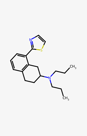 CCCN(CCC)C1CCc2cccc(-c3nccs3)c2C1